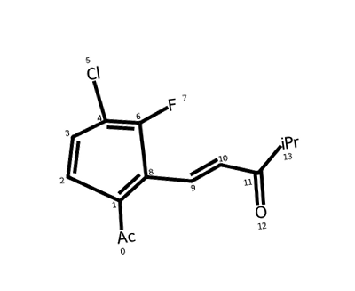 CC(=O)c1ccc(Cl)c(F)c1/C=C/C(=O)C(C)C